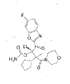 CC[C@@](OC(N)=O)(C(=O)c1nc2ccc(F)cc2o1)C(C)(C(=O)N1CCOCC1)C1CCCC1